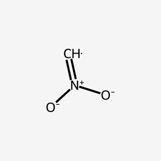 [CH]=[N+]([O-])[O-]